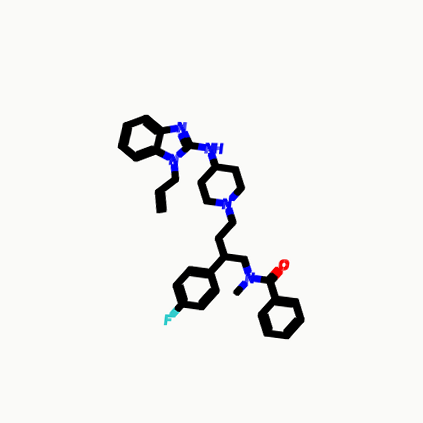 C=CCn1c(NC2CCN(CCC(CN(C)C(=O)c3ccccc3)c3ccc(F)cc3)CC2)nc2ccccc21